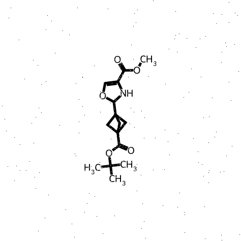 COC(=O)C1=COC(C23CC(C(=O)OC(C)(C)C)(C2)C3)N1